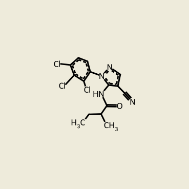 CCC(C)C(=O)Nc1c(C#N)cnn1-c1ccc(Cl)c(Cl)c1Cl